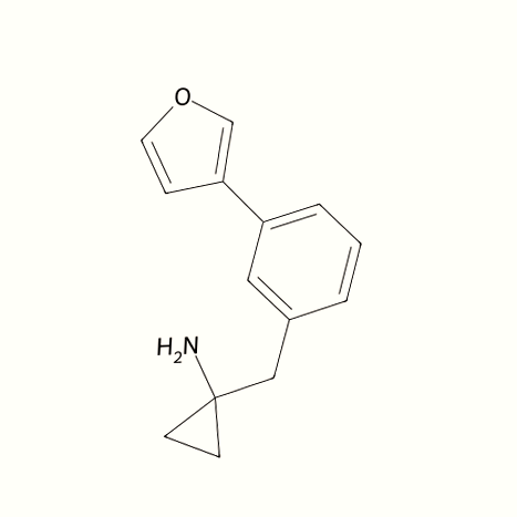 NC1(Cc2cccc(-c3ccoc3)c2)CC1